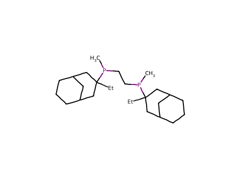 CCC1(P(C)CCP(C)C2(CC)CC3CCCC(C3)C2)CC2CCCC(C2)C1